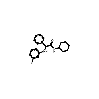 O=C(NC1CCCCC1)C(Nc1cccc(F)c1)c1ccccc1